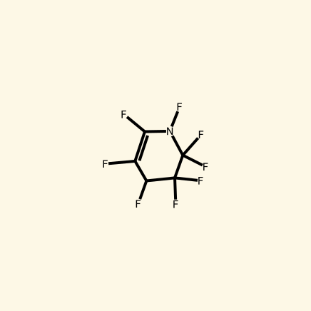 FC1=C(F)N(F)C(F)(F)C(F)(F)C1F